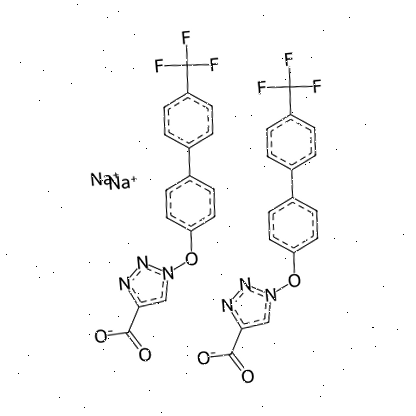 O=C([O-])c1cn(Oc2ccc(-c3ccc(C(F)(F)F)cc3)cc2)nn1.O=C([O-])c1cn(Oc2ccc(-c3ccc(C(F)(F)F)cc3)cc2)nn1.[Na+].[Na+]